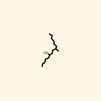 CCCCCCC(C)CCC(O)CCCCC